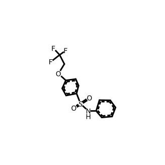 O=S(=O)(Nc1ccccc1)c1ccc(OCC(F)(F)F)cc1